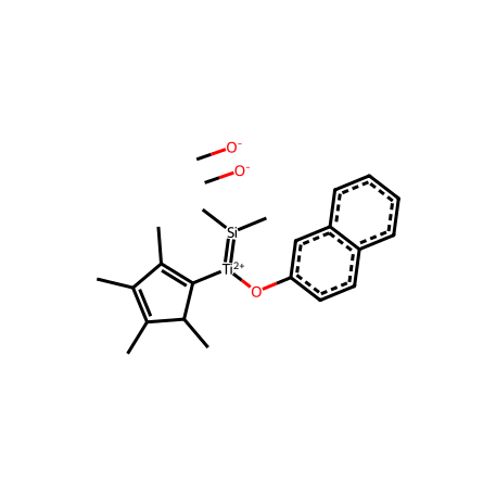 CC1=C(C)C(C)[C]([Ti+2]([O]c2ccc3ccccc3c2)=[Si](C)C)=C1C.C[O-].C[O-]